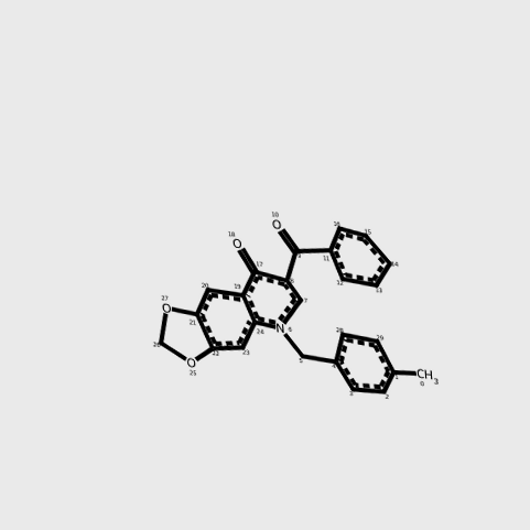 Cc1ccc(Cn2cc(C(=O)c3ccccc3)c(=O)c3cc4c(cc32)OCO4)cc1